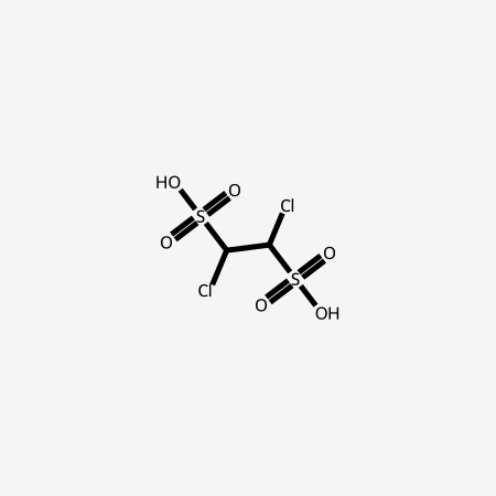 O=S(=O)(O)C(Cl)C(Cl)S(=O)(=O)O